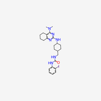 CN(C)c1nc(NC2CCC(CNC(=O)Nc3ccccc3I)CC2)nc2c1CCCC2